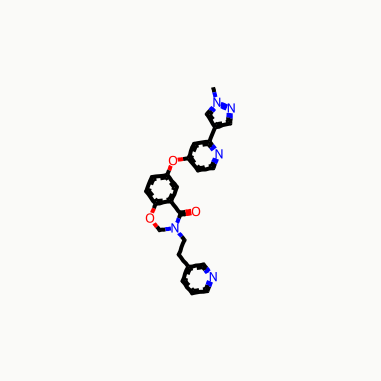 Cn1cc(-c2cc(Oc3ccc4c(c3)C(=O)N(CCc3cccnc3)CO4)ccn2)cn1